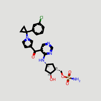 NS(=O)(=O)OC[C@H]1C[C@@H](Nc2ncncc2C(=O)c2ccn(C3(c4cccc(Cl)c4)CC3)c2)C[C@@H]1O